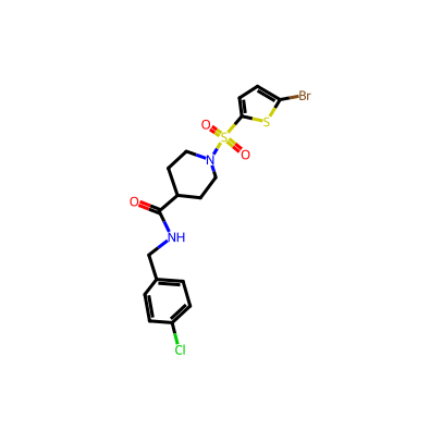 O=C(NCc1ccc(Cl)cc1)C1CCN(S(=O)(=O)c2ccc(Br)s2)CC1